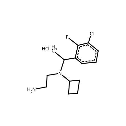 CC(c1cccc(Cl)c1F)N(CCN)C1CCC1.Cl